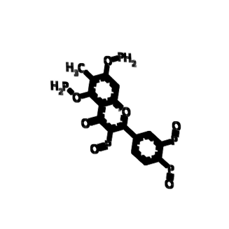 Cc1c(OP)cc2oc(-c3ccc(P=O)c(P=O)c3)c(P=O)c(=O)c2c1OP